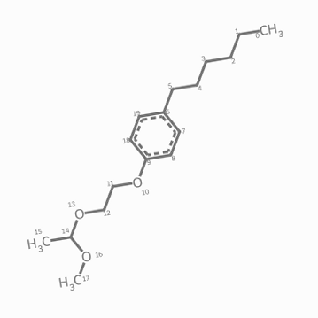 CCCCCCc1ccc(OCCOC(C)OC)cc1